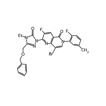 CCn1c(COCc2ccccc2)nn(-c2nc3c(Br)cn(-c4cc(C)ccc4F)c(=O)c3cc2F)c1=O